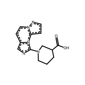 O=C(O)C1CCCN(c2ncc3ccn4nccc4n23)C1